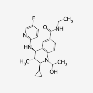 CCNC(=O)c1ccc2c(c1)[C@H](Nc1ccc(F)cn1)[C@@H](C)[C@H](C1CC1)N2C(C)O